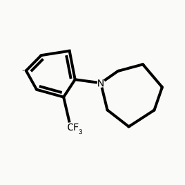 FC(F)(F)c1c[c]ccc1N1CCCCCC1